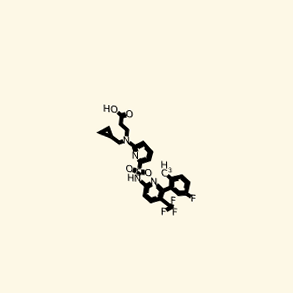 Cc1ccc(F)cc1-c1nc(NS(=O)(=O)c2cccc(N(CCC(=O)O)CC3CC3)n2)ccc1C(F)(F)F